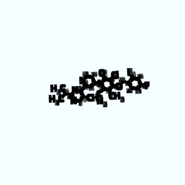 Cc1cnc(C(C)C)nc1-c1cc(-n2c(C)c(C)c(OCc3ccc(F)cc3F)c(Cl)c2=O)ccn1